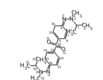 CC(C)N(C)N=C1C=CC(S(=O)(=O)C2=CCC(=NN(C)C(C)C)C=C2)=CC1